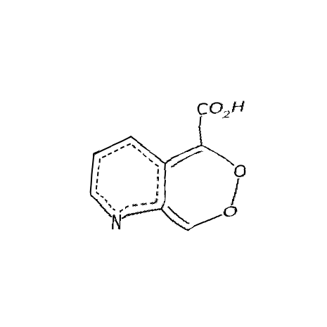 O=C(O)C1=c2cccnc2=COO1